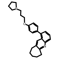 c1cc(-c2ccc(OCCCN3CCCC3)cc2)c2cc3c(nc2c1)CCCCC3